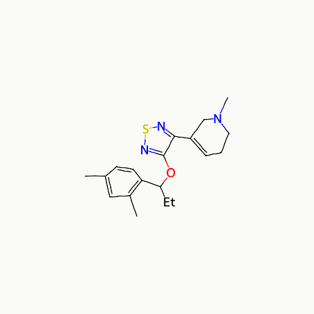 CCC(Oc1nsnc1C1=CCCN(C)C1)c1ccc(C)cc1C